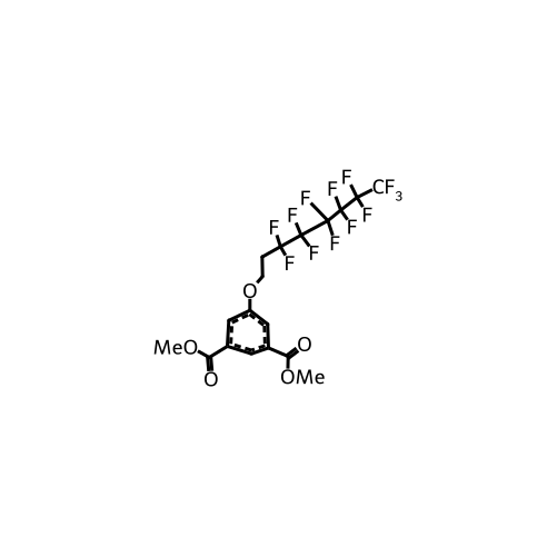 COC(=O)c1cc(OCCC(F)(F)C(F)(F)C(F)(F)C(F)(F)C(F)(F)C(F)(F)F)cc(C(=O)OC)c1